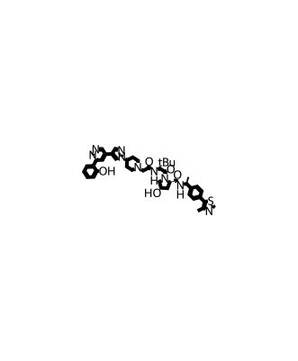 Cc1ncsc1-c1ccc([C@H](C)NC(=O)[C@@H]2C[C@@H](O)CN2C(=O)[C@@H](NC(=O)CN2CCC(n3cc(-c4cnnc(-c5ccccc5O)c4)cn3)CC2)C(C)(C)C)cc1